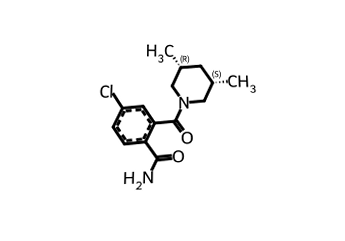 C[C@@H]1C[C@H](C)CN(C(=O)c2cc(Cl)ccc2C(N)=O)C1